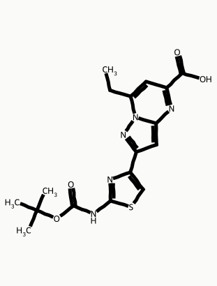 CCc1cc(C(=O)O)nc2cc(-c3csc(NC(=O)OC(C)(C)C)n3)nn12